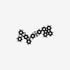 O=S(=O)(c1ccc(-c2cccc3c2-c2ccccc2C32c3ccccc3-c3ccccc32)cc1)c1ccc(-n2c3ccccc3c3cc4c(cc32)Oc2ccccc2N4c2ccccc2)cc1